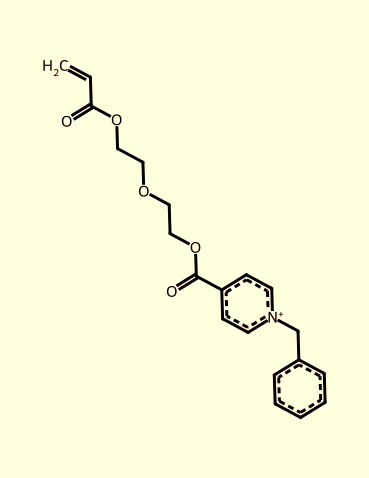 C=CC(=O)OCCOCCOC(=O)c1cc[n+](Cc2ccccc2)cc1